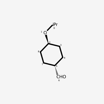 CC(C)O[C@H]1CC[C@H](C=O)CC1